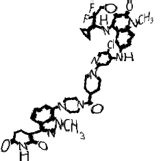 Cn1nc(C2CCC(=O)NC2=O)c2cccc(N3CCN(C(=O)C4CCN(c5cc(Nc6ccc7c(c6)c6c(c(=O)n7C)OCC(F)(F)C(C7CC7)N6)c(Cl)cn5)CC4)CC3)c21